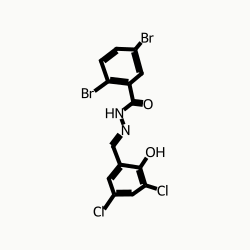 O=C(N/N=C/c1cc(Cl)cc(Cl)c1O)c1cc(Br)ccc1Br